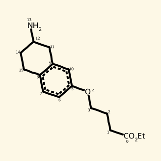 CCOC(=O)CCCOc1ccc2c(c1)CC(N)CC2